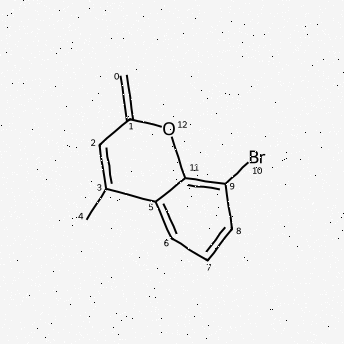 C=C1C=C(C)c2cccc(Br)c2O1